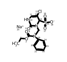 CCOC(=O)N(CN1C(=O)NC=C(Cl)C1S(=O)(=O)[O-])c1ccccc1.[Na+]